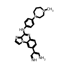 CN1CCCN(c2ccc(Nc3nc4ccc(/C(C=N)=C/N)cc4n4ccnc34)cc2)CC1